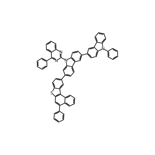 c1ccc(-c2nc(-n3c4ccc(-c5ccc6c(c5)c5ccccc5n6-c5ccccc5)cc4c4ccc(-c5ccc6sc7cc(-c8ccccc8)c8ccccc8c7c6c5)cc43)nc3ccccc23)cc1